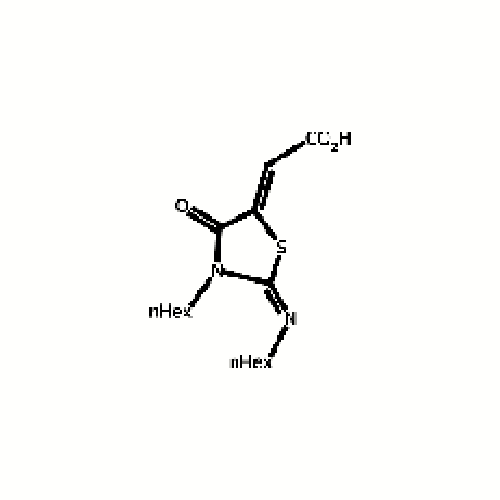 CCCCCC/N=C1/S/C(=C\C(=O)O)C(=O)N1CCCCCC